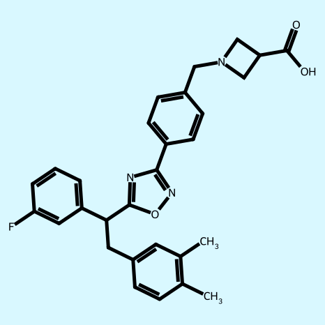 Cc1ccc(CC(c2cccc(F)c2)c2nc(-c3ccc(CN4CC(C(=O)O)C4)cc3)no2)cc1C